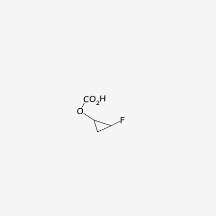 O=C(O)OC1CC1F